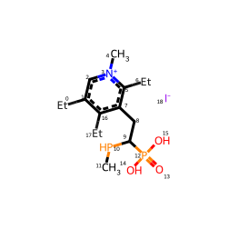 CCc1c[n+](C)c(CC)c(CC(PC)P(=O)(O)O)c1CC.[I-]